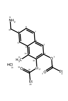 CCC(=O)Oc1cc2ccc(CN)cc2c(C)c1OC(=O)CC.Cl